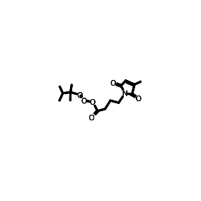 CC1=CC(=O)N(CCCC(=O)OOOC(C)(C)C(C)C)C1=O